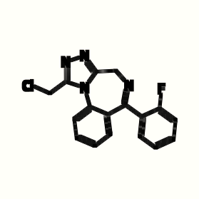 Fc1ccccc1C1=NCc2nnc(CCl)n2-c2ccccc21